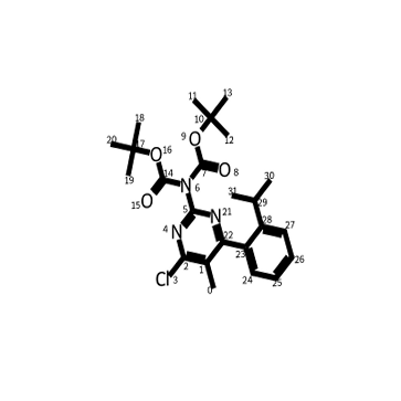 Cc1c(Cl)nc(N(C(=O)OC(C)(C)C)C(=O)OC(C)(C)C)nc1-c1ccccc1C(C)C